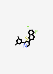 Cc1cc(C)cc(-c2nccc3c2sc2c4cc(F)cc(F)c4ccc32)c1